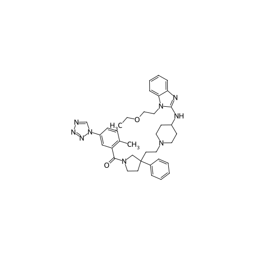 CCOCCn1c(NC2CCN(CCC3(c4ccccc4)CCN(C(=O)c4cc(-n5cnnn5)ccc4C)C3)CC2)nc2ccccc21